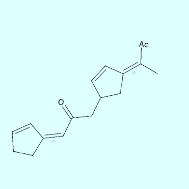 CC(=O)/C(C)=C1\C=CC(CC(=O)/C=C2\C=CCC2)C1